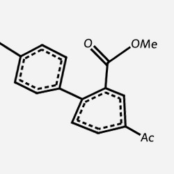 COC(=O)c1cc(C(C)=O)ccc1-c1ccc(C)cc1